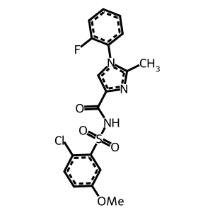 COc1ccc(Cl)c(S(=O)(=O)NC(=O)c2cn(-c3ccccc3F)c(C)n2)c1